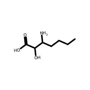 CCCCC(N)C(O)C(=O)O